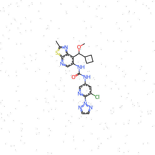 COC(c1c(NC(=O)Nc2cnc(-n3nccn3)c(Cl)c2)cnc2sc(C)nc12)C1CCC1